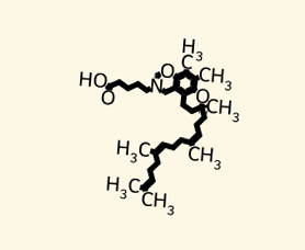 CC(C)=CCCC(C)=CCCC(C)=CCC[C@]1(C)CCc2c3c(c(C)c(C)c2O1)OCN(CCCCC(=O)O)C3